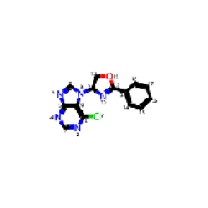 Clc1ncnc2ncn(C3COC(c4ccccc4)=N3)c12